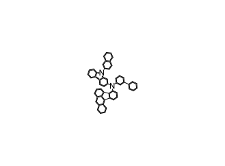 c1ccc(-c2cccc(N(c3ccc4c5ccccc5n(-c5ccc6ccccc6c5)c4c3)c3cccc4c3-c3cccc5cc6ccccc6c-4c35)c2)cc1